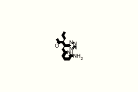 CCC[C@H](C(C)=O)[C@H](Cc1cccc(N)n1)c1nnn[nH]1